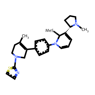 CSC1C([C@@H]2CCCN2C)=CC=CN1c1ccc(C2=C(C)CCN(c3nccs3)C2)cc1